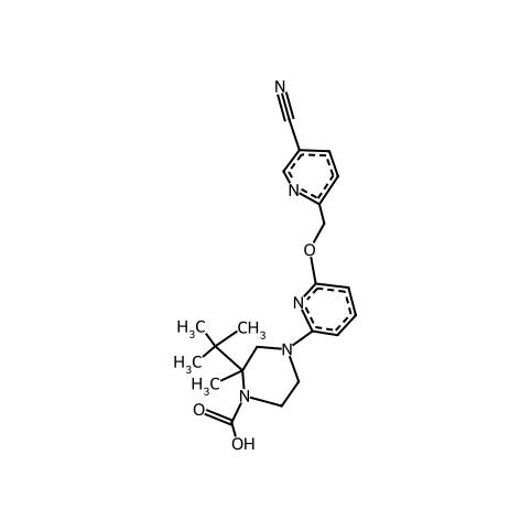 CC(C)(C)C1(C)CN(c2cccc(OCc3ccc(C#N)cn3)n2)CCN1C(=O)O